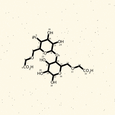 CC(C)C1C(COCC(=O)O)OC(OC2C(COCC(=O)O)OC(O)C(O)C2O)C(O)C1O